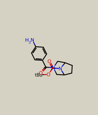 CC(C)(C)OC(=O)N1C2CCC1CN(C(=O)c1ccc(N)cc1)C2